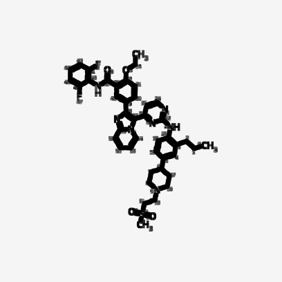 CCCc1cc(C2CCN(CCS(C)(=O)=O)CC2)ccc1Nc1nccc(-c2c(-c3ccc(OCC)c(C(=O)Nc4c(F)cccc4F)c3)nc3ccccn23)n1